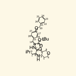 CC(C)C[C@H](NC1CCOCC1)C(=O)N[C@@H](Cc1ccc(OCc2ccccc2)cc1)C(=O)OC(C)(C)C